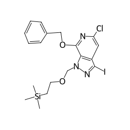 C[Si](C)(C)CCOCn1nc(I)c2cc(Cl)nc(OCc3ccccc3)c21